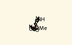 COC(=O)c1cccc2c1c(C(=O)c1ccc(CN3C=Cc4[nH]c(C)nc4C3)cc1)cn2C(=O)N(C)C